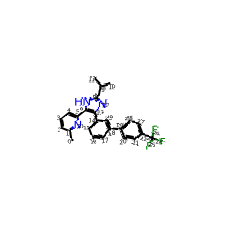 Cc1cccc(-c2[nH]c(C(C)C)nc2-c2cccc(-c3ccc(C(F)(F)F)cc3)c2)n1